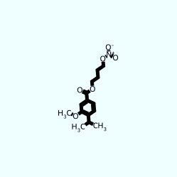 COc1cc(C(=O)OCCCCO[N+](=O)[O-])ccc1C(C)C